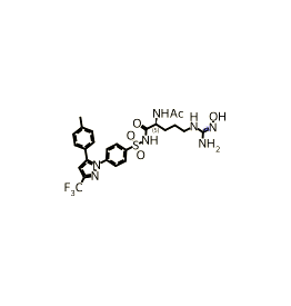 CC(=O)N[C@@H](CCCN/C(N)=N\O)C(=O)NS(=O)(=O)c1ccc(-n2nc(C(F)(F)F)cc2-c2ccc(C)cc2)cc1